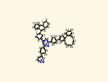 C1=Cc2c(cc(-c3cccc(-c4cc(-c5ccc(-c6cccnc6)cc5)nc(-c5ccc(-c6ccc7c(c6)C/C=C\C=C/Cc6ccccc6-7)cc5)n4)c3)c3ccccc23)CC1